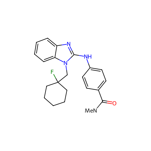 CNC(=O)c1ccc(Nc2nc3ccccc3n2CC2(F)CCCCC2)cc1